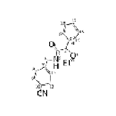 CCOC(C(=O)NCc1ccc(C#N)cc1)c1ccccc1